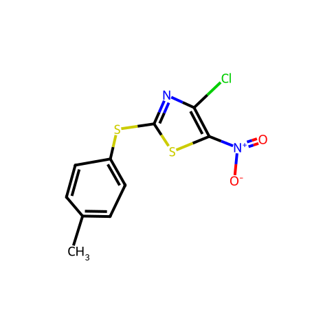 Cc1ccc(Sc2nc(Cl)c([N+](=O)[O-])s2)cc1